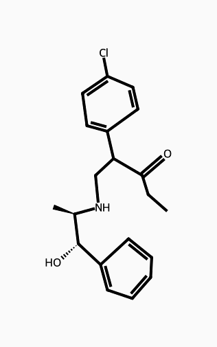 CCC(=O)C(CN[C@H](C)[C@@H](O)c1ccccc1)c1ccc(Cl)cc1